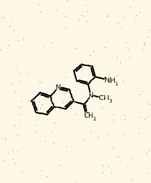 C=C(c1cnc2ccccc2c1)N(C)c1ccccc1N